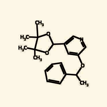 CC(Oc1cncc(C2OC(C)(C)C(C)(C)O2)c1)c1ccccc1